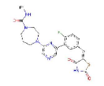 CC(C)NC(=O)N1CCCN(c2cncc(-c3cc(C=C4SC(=O)NC4=O)ccc3F)n2)CC1